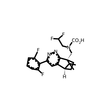 CC1(C)[C@H]2CC[C@]1(CN(CC(F)F)C(=O)O)c1nnc(-c3c(F)cccc3F)cc12